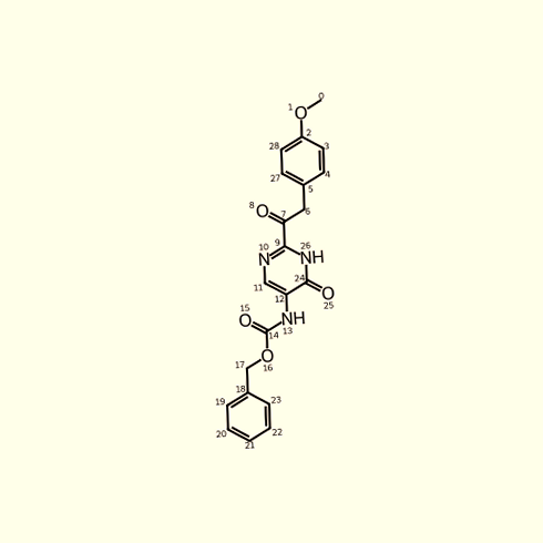 COc1ccc(CC(=O)c2ncc(NC(=O)OCc3ccccc3)c(=O)[nH]2)cc1